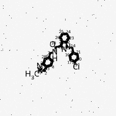 Cn1cc2ccc(CNC(=O)c3nn(Cc4ccc(Cl)cc4)c4ccccc34)cc2n1